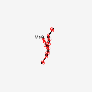 C=CC(=O)OCCCCCCOc1ccc(OC(=O)C2CCC(C(=O)Oc3ccc(OC(=O)C4CCC(C(=O)Oc5ccc(OCCCCCCOC(=O)C=C)cc5)CC4)c(C(=O)OCCOCCOCCOC)c3)CC2)cc1